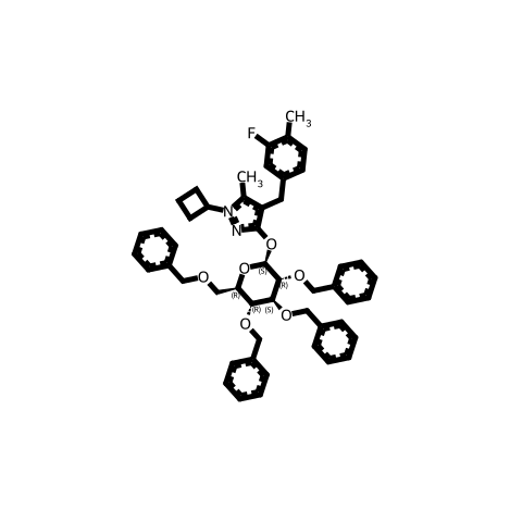 Cc1ccc(Cc2c(O[C@@H]3O[C@H](COCc4ccccc4)[C@@H](OCc4ccccc4)[C@H](OCc4ccccc4)[C@H]3OCc3ccccc3)nn(C3CCC3)c2C)cc1F